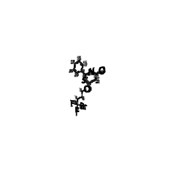 O=c1cc(OCCCC(F)(F)Br)sc(-c2ccccc2)n1